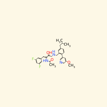 COc1cncc(-c2ccc(CC(C)C)cc2CNC[C@@H](O)[C@H](Cc2cc(F)cc(F)c2)NC(C)=O)c1